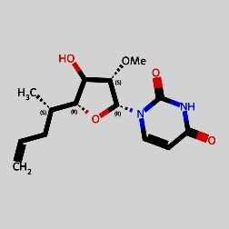 C=CC[C@H](C)[C@H]1O[C@@H](n2ccc(=O)[nH]c2=O)[C@@H](OC)C1O